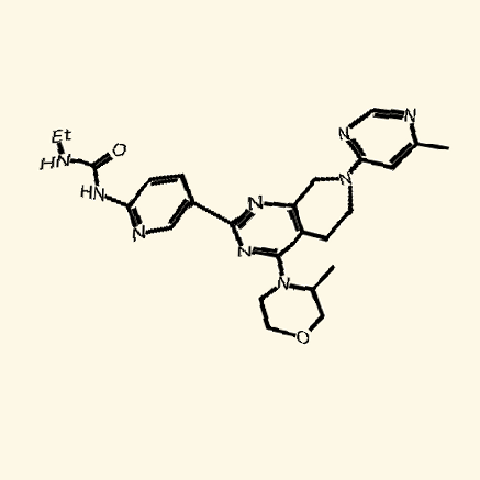 CCNC(=O)Nc1ccc(-c2nc3c(c(N4CCOCC4C)n2)CCN(c2cc(C)ncn2)C3)cn1